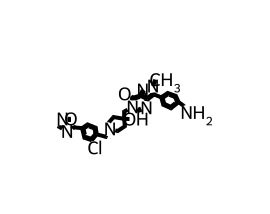 Cn1nc2c(=O)n(CC3(O)CCN(Cc4ccc(-c5ncno5)cc4Cl)CC3)cnc2c1-c1ccc(CN)cc1